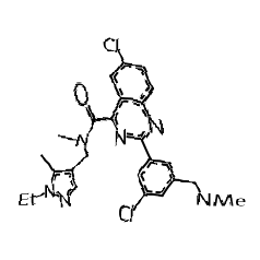 CCn1ncc(CN(C)C(=O)c2nc(-c3cc(Cl)cc(CNC)c3)nc3ccc(Cl)cc23)c1C